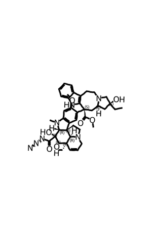 CC[C@]1(O)C[C@H]2C[C@](C(=O)OC)(c3cc4c(cc3OC)N(C)[C@H]3[C@@](O)(C(=O)N=[N+]=[N-])[C@H](O)[C@]5(CC)C=CCN6CC[C@]43[C@@H]65)c3[nH]c4ccccc4c3CCN2C1